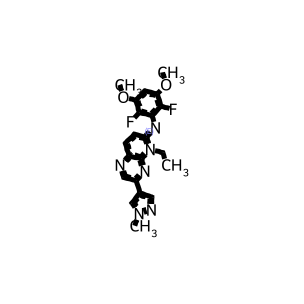 CCn1/c(=N/c2c(F)c(OC)cc(OC)c2F)ccc2ncc(-c3cnn(C)c3)nc21